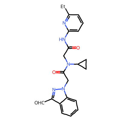 CCc1cccc(NC(=O)CN(C(=O)Cn2nc(C=O)c3ccccc32)C2CC2)n1